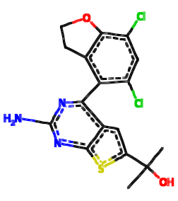 CC(C)(O)c1cc2c(-c3c(Cl)cc(Cl)c4c3CCO4)nc(N)nc2s1